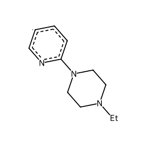 CCN1CCN(c2cc[c]cn2)CC1